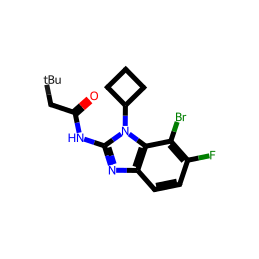 CC(C)(C)CC(=O)Nc1nc2ccc(F)c(Br)c2n1C1CCC1